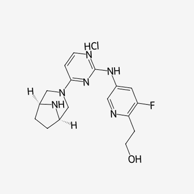 Cl.OCCc1ncc(Nc2nccc(N3C[C@H]4CC[C@@H](C3)N4)n2)cc1F